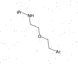 CC(=O)CCOCCNC(C)C